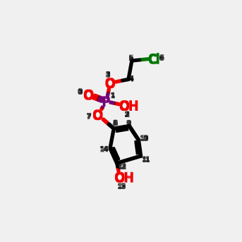 O=P(O)(OCCCl)Oc1cccc(O)c1